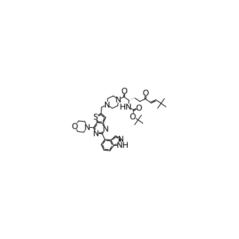 CC(C)(C)C=CC(=O)CC[C@H](NC(=O)OC(C)(C)C)C(=O)N1CCN(Cc2cc3nc(-c4cccc5[nH]ncc45)nc(N4CCOCC4)c3s2)CC1